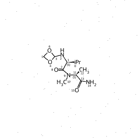 CC(C)[C@H](NC1OCO1)C(=O)N(C)[C@@H](C)C(N)=O